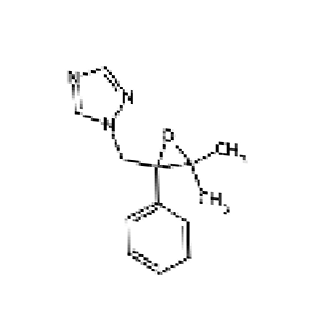 CC1(C)OC1(Cn1cncn1)c1ccccc1